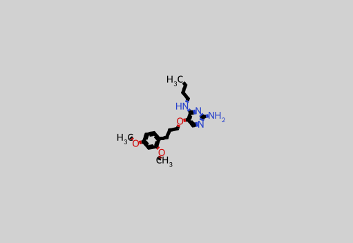 CCCCNc1nc(N)ncc1OCCCc1ccc(OC)cc1OC